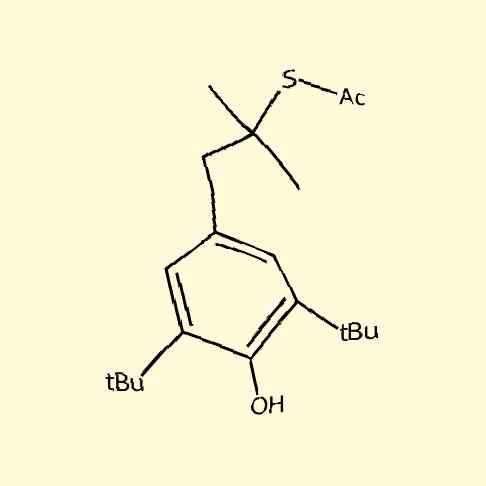 CC(=O)SC(C)(C)Cc1cc(C(C)(C)C)c(O)c(C(C)(C)C)c1